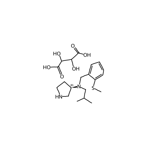 CSc1ccccc1CN(CC(C)C)[C@@H]1CCNC1.O=C(O)C(O)C(O)C(=O)O